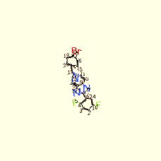 Fc1ccc(F)c(-c2nc3ccn(Cc4ccc(Br)cc4)cc-3n2)c1